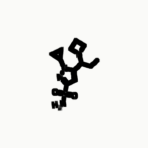 CCC(c1cc(S(N)(=O)=O)nn1C1CC1)N1CCC1